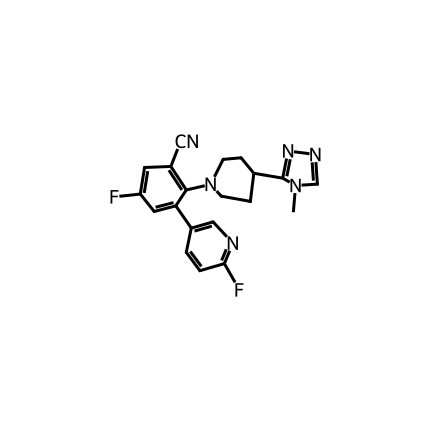 Cn1cnnc1C1CCN(c2c(C#N)cc(F)cc2-c2ccc(F)nc2)CC1